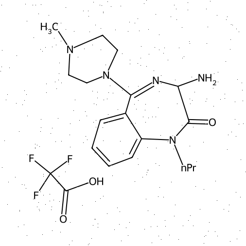 CCCN1C(=O)C(N)N=C(N2CCN(C)CC2)c2ccccc21.O=C(O)C(F)(F)F